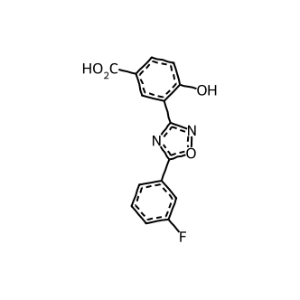 O=C(O)c1ccc(O)c(-c2noc(-c3cccc(F)c3)n2)c1